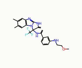 C=C(NC1(C(F)(F)F)C(=C)Nc2nc3cc(C)c(C)cc3n21)c1cccc(NCCOC)c1